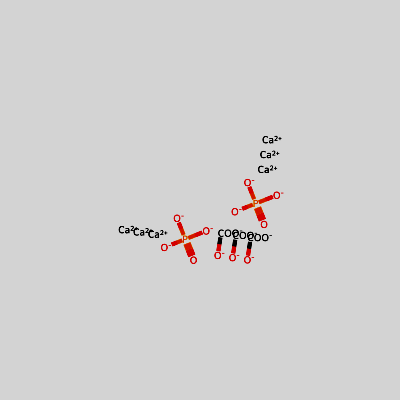 O=C([O-])[O-].O=C([O-])[O-].O=C([O-])[O-].O=P([O-])([O-])[O-].O=P([O-])([O-])[O-].[Ca+2].[Ca+2].[Ca+2].[Ca+2].[Ca+2].[Ca+2]